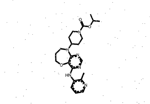 Cc1ncccc1Nc1ncnc2c1OCCCN2C1CCN(C(=O)OC(C)C)CC1